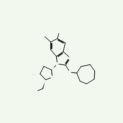 OC[C@@H]1O[C@H](n2c(NC3CCCCCC3)nc3cc(Cl)c(Cl)cc32)[C@@H](O)[C@H]1O